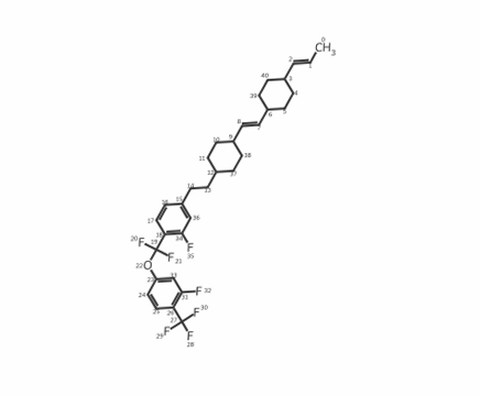 C/C=C/C1CCC(/C=C/C2CCC(CCc3ccc(C(F)(F)Oc4ccc(C(F)(F)F)c(F)c4)c(F)c3)CC2)CC1